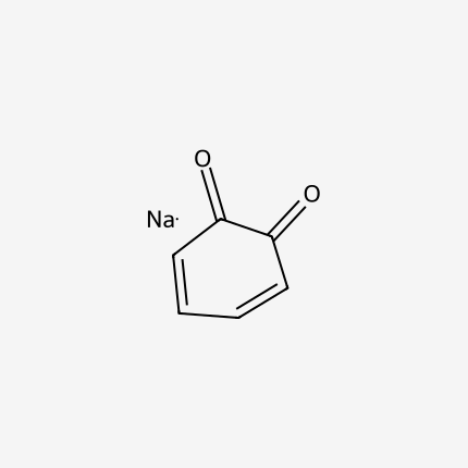 O=C1C=CC=CC1=O.[Na]